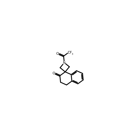 O=C(N1CC2(C1)C(=O)CCc1ccccc12)C(F)(F)F